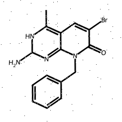 CC1=c2cc(Br)c(=O)n(Cc3ccccc3)c2=NC(N)N1